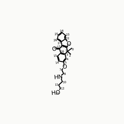 CC1(C)c2cc(OCCNCCCO)ccc2C(=O)c2c1oc1ccccc21